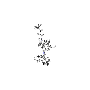 CCCCC(C)([C@H](O)/C=C/[C@H]1CC[C@H]2O/C(=C\CCCC(=O)[O-])C(F)[C@H]12)C(F)(F)F.[Na+]